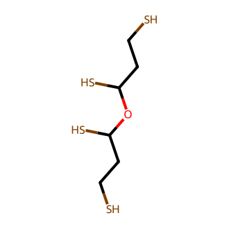 SCCC(S)OC(S)CCS